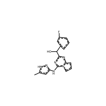 Cc1cc(Nc2nc(C(O)c3cccc(F)c3)nc3cccn23)n[nH]1